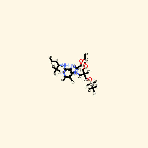 CCCC(Nc1nc(C)c(C)c2c1nc(COCC)n2CC(C)(COC)CO[Si](C)(C)C(C)(C)C)C(C)(C)C